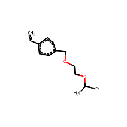 C=Cc1ccc(COCCOC(C)C(C)C)cc1